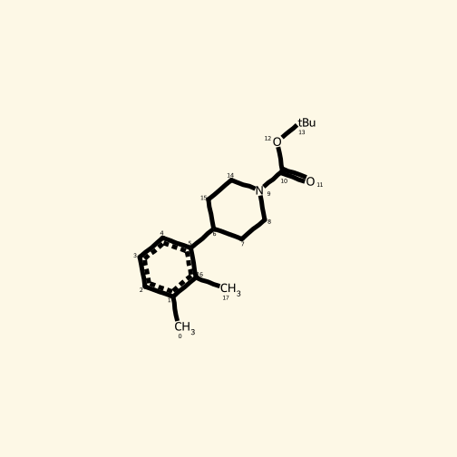 Cc1cccc(C2CCN(C(=O)OC(C)(C)C)CC2)c1C